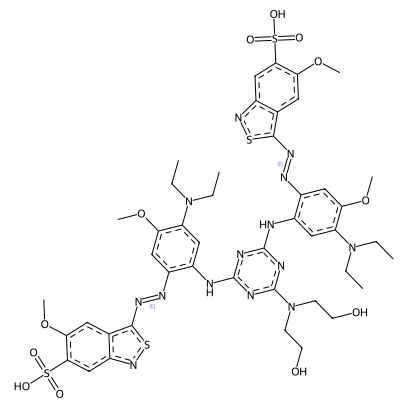 CCN(CC)c1cc(Nc2nc(Nc3cc(N(CC)CC)c(OC)cc3/N=N/c3snc4cc(S(=O)(=O)O)c(OC)cc34)nc(N(CCO)CCO)n2)c(/N=N/c2snc3cc(S(=O)(=O)O)c(OC)cc23)cc1OC